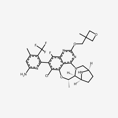 Cc1cc(N)nc(-c2c(Cl)c3c4c(nc(OCC5(C)COC5)nc4c2F)N2C[C@H]4CC[C@H](N4)[C@H]2[C@H](C)O3)c1C(F)(F)F